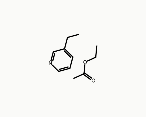 CCOC(C)=O.CCc1cccnc1